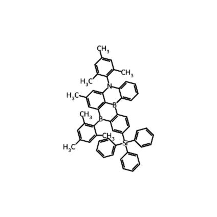 Cc1cc(C)c(B2c3cc([Si](c4ccccc4)(c4ccccc4)c4ccccc4)ccc3B3c4ccccc4N(c4c(C)cc(C)cc4C)c4cc(C)cc2c43)c(C)c1